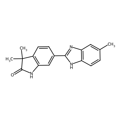 Cc1ccc2[nH]c(-c3ccc4c(c3)NC(=O)C4(C)C)nc2c1